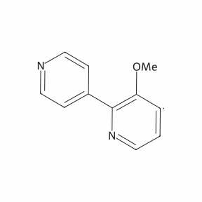 COc1[c]ccnc1-c1ccncc1